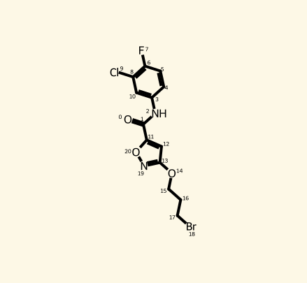 O=C(Nc1ccc(F)c(Cl)c1)c1cc(OCCCBr)no1